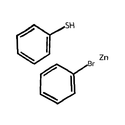 Brc1ccccc1.Sc1ccccc1.[Zn]